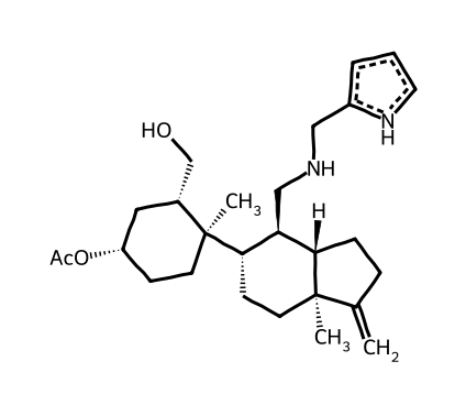 C=C1CC[C@H]2[C@H](CNCc3ccc[nH]3)[C@@H]([C@@]3(C)CC[C@H](OC(C)=O)C[C@@H]3CO)CC[C@]12C